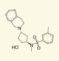 Cc1cccc(S(=O)(=O)N(C)[C@H]2CC[C@H](N3CCc4ccccc4C3)C2)c1.Cl